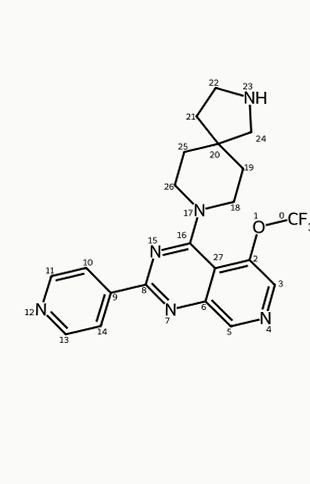 FC(F)(F)Oc1cncc2nc(-c3ccncc3)nc(N3CCC4(CCNC4)CC3)c12